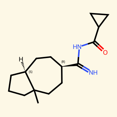 CC12CCC[C@H]1CC[C@@H](C(=N)NC(=O)C1CC1)CC2